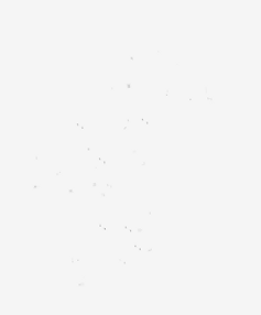 CNC(=O)c1cc(Cl)cc(C)c1NC(=O)c1cc(Cn2nnc(C(F)(F)F)n2)nn1-c1ncccc1C(F)(F)F